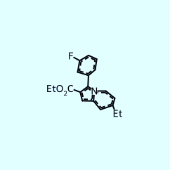 CCOC(=O)c1cc2cc(CC)ccn2c1-c1cccc(F)c1